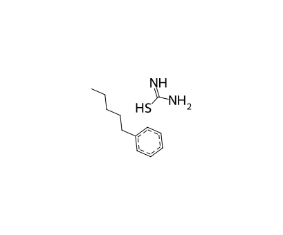 CCCCCc1ccccc1.N=C(N)S